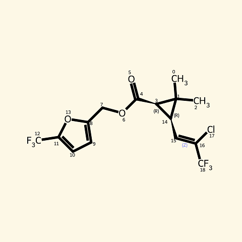 CC1(C)[C@H](C(=O)OCc2ccc(C(F)(F)F)o2)[C@@H]1/C=C(\Cl)C(F)(F)F